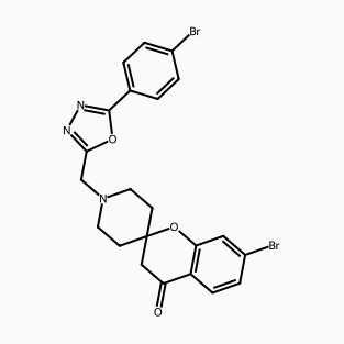 O=C1CC2(CCN(Cc3nnc(-c4ccc(Br)cc4)o3)CC2)Oc2cc(Br)ccc21